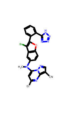 CCc1cc(N(C)c2ccc3oc(-c4ccccc4-c4nnn[nH]4)c(Br)c3c2)n2ncc(C#N)c2n1